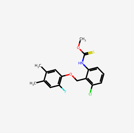 COC(=S)Nc1cccc(Cl)c1COc1cc(C)c(C)cc1F